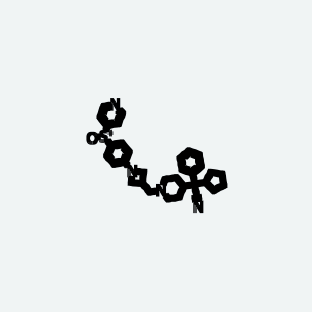 N#CC(c1ccccc1)(C1CCCC1)C1CCN(CC2CN(c3ccc([S+]([O-])c4ccncc4)cc3)C2)CC1